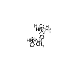 CC(Cc1ccc2c(c1)CC(NC(C)(C)C)=N2)Nc1n[nH]c2ccccc12